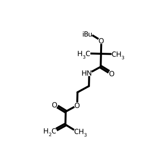 C=C(C)C(=O)OCCNC(=O)C(C)(C)OC(C)CC